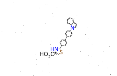 O=C(O)[C@@H]1CSC(c2ccc(-c3ccc(-n4ccc5ccccc54)cc3)cc2)N1